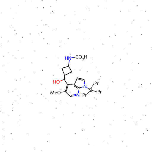 COc1cnc2c(ccn2[Si](C(C)C)(C(C)C)C(C)C)c1C(O)C1CC(NC(=O)O)C1